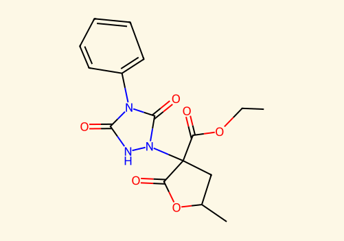 CCOC(=O)C1(n2[nH]c(=O)n(-c3ccccc3)c2=O)CC(C)OC1=O